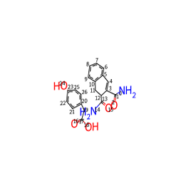 NC(=O)C1=Cc2ccccc2CC1C(N)=O.O=C(O)Cc1ccc(O)cc1